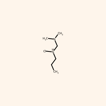 CCC[SiH](Cl)CN(C)C